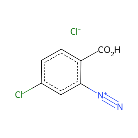 N#[N+]c1cc(Cl)ccc1C(=O)O.[Cl-]